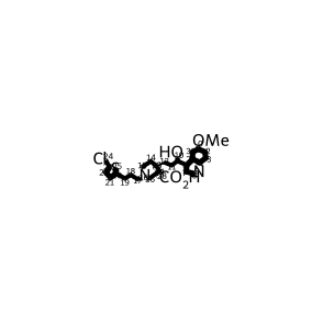 COc1ccc2nccc(C(O)CC[C@@H]3CCN(CCCc4ccc(Cl)s4)C[C@@H]3C(=O)O)c2c1